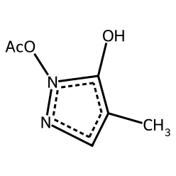 CC(=O)On1ncc(C)c1O